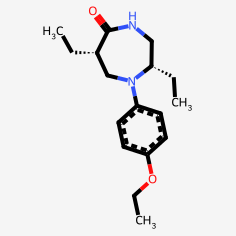 CCOc1ccc(N2C[C@H](CC)C(=O)NC[C@@H]2CC)cc1